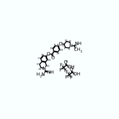 CC(=N)N1CCC(Oc2ccc(C(=O)Oc3ccc4c(c3)CN(C(=N)N)CC4)cc2)CC1.O=C(O)C(F)(F)F.O=C(O)C(F)(F)F